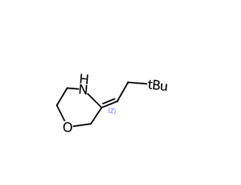 CC(C)(C)C/C=C1/COCCN1